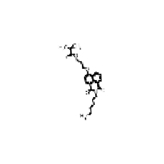 C=C(C)C(=O)OCCCOc1ccc2c3c(cccc13)C(=O)N(CCCCCC)C2=O